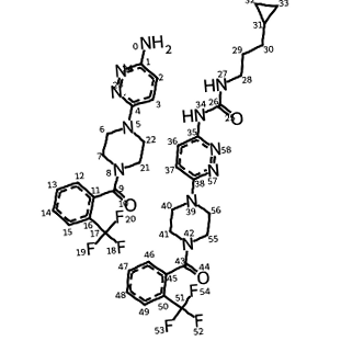 Nc1ccc(N2CCN(C(=O)c3ccccc3C(F)(F)F)CC2)nn1.O=C(NCCCC1CC1)Nc1ccc(N2CCN(C(=O)c3ccccc3C(F)(F)F)CC2)nn1